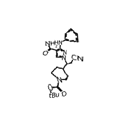 CC(C)(C)OC(=O)N1CCC([C@H](CC#N)n2cc(C(N)=O)c(Nc3ccccc3)n2)CC1